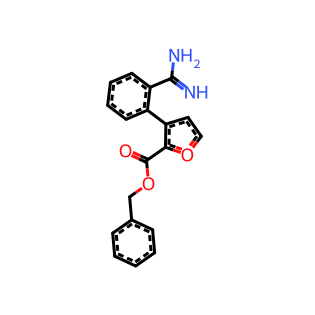 N=C(N)c1ccccc1-c1ccoc1C(=O)OCc1ccccc1